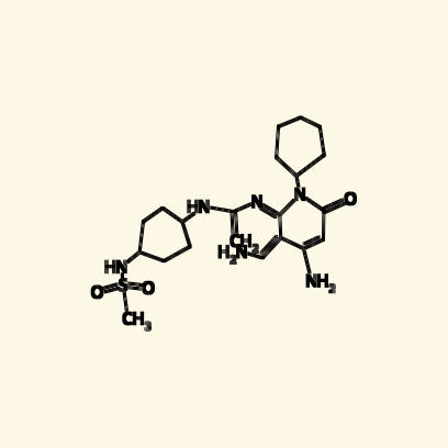 C=C(/N=C1\C(=C/N)C(N)=CC(=O)N1C1CCCCC1)NC1CCC(NS(C)(=O)=O)CC1